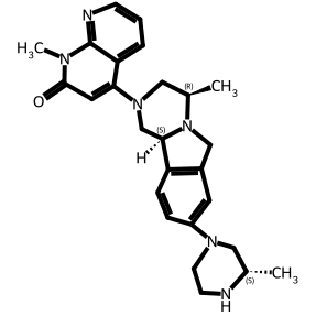 C[C@@H]1CN(c2cc(=O)n(C)c3ncccc23)C[C@@H]2c3ccc(N4CCN[C@@H](C)C4)cc3CN12